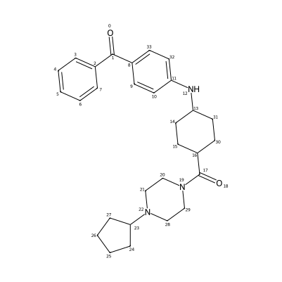 O=C(c1ccccc1)c1ccc(NC2CCC(C(=O)N3CCN(C4CCCC4)CC3)CC2)cc1